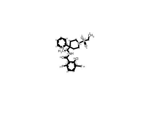 CCS(=O)(=O)N1CCC(c2ccccn2)([C@H](C)NC(=O)c2c(F)ccc(F)c2Cl)CC1